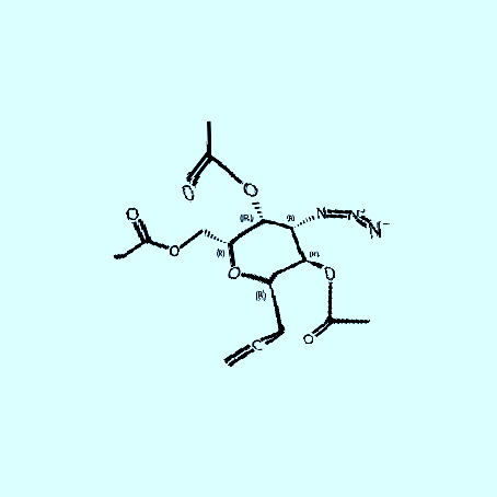 C=C=C[C@H]1O[C@H](COC(C)=O)[C@H](OC(C)=O)[C@H](N=[N+]=[N-])[C@H]1OC(C)=O